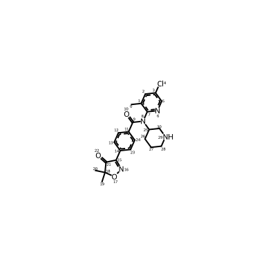 Cc1cc(Cl)cnc1N(C(=O)c1ccc(C2=NOC(C)(C)C2=O)cc1)C1CCCNC1